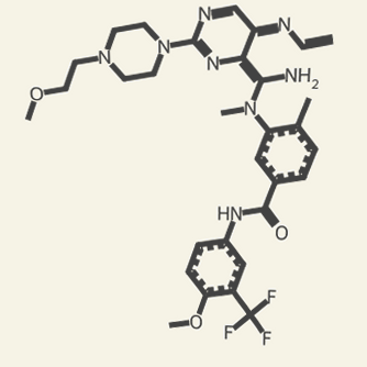 C=C/N=C1/C=NC(N2CCN(CCOC)CC2)=N/C1=C(/N)N(C)c1cc(C(=O)Nc2ccc(OC)c(C(F)(F)F)c2)ccc1C